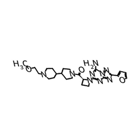 COCCN1CCC(C2CCN(C(=O)[C@@H]3CCN3c3nc(N)n4nc(-c5ccco5)nc4n3)CC2)CC1